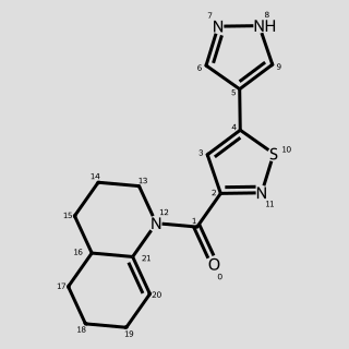 O=C(c1cc(-c2cn[nH]c2)sn1)N1CCCC2CCCC=C21